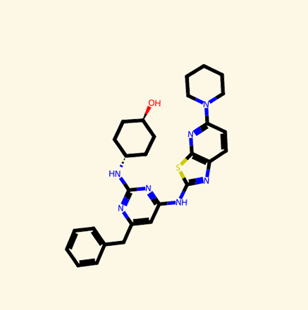 O[C@H]1CC[C@H](Nc2nc(Cc3ccccc3)cc(Nc3nc4ccc(N5CCCCC5)nc4s3)n2)CC1